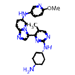 COc1ccc(Nc2ccc3ncc(-c4nc(N[C@H]5CC[C@H](N)CC5)ncc4C)n3c2)cn1